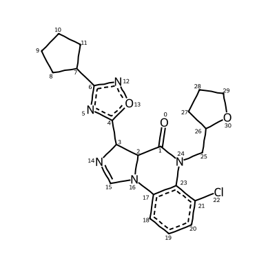 O=C1C2C(c3nc(C4CCCC4)no3)N=CN2c2cccc(Cl)c2N1CC1CCCO1